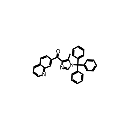 Cc1c(C(=O)c2ccc3cccnc3c2)ncn1C(c1ccccc1)(c1ccccc1)c1ccccc1